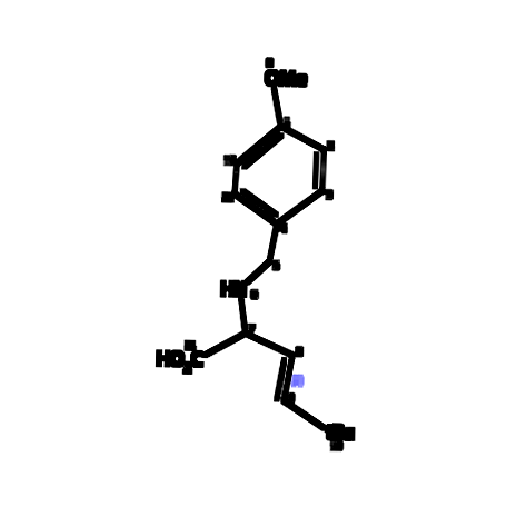 COc1ccc(CNC(/C=C/C(C)(C)C)C(=O)O)cc1